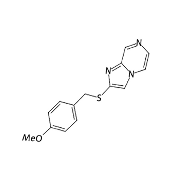 COc1ccc(CSc2cn3ccncc3n2)cc1